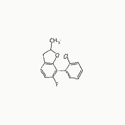 [CH2]C1Cc2ccc(F)c(-c3ccccc3Cl)c2O1